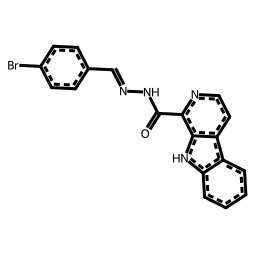 O=C(NN=Cc1ccc(Br)cc1)c1nccc2c1[nH]c1ccccc12